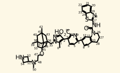 Cc1c(-c2ccc(-c3ccc4c(c3)N(C(=O)Nc3nc5ccccc5s3)CCC4)nc2C(=O)O)cnn1CC12CC3(C)CC(C)(C1)CC(OCCN(C)C1CNC1)(C3)C2